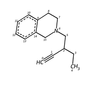 C#CC(CC)CN1CCc2ccccc2C1